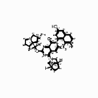 [2H]C([2H])(Oc1nc(N2C[C@H]3CC[C@@H](C2)N3)c2cc(C(F)(F)F)n(-c3cc(O)cc4ccc(F)c(F)c34)c(=O)c2n1)[C@@]12CCCN1C[C@H](F)C2